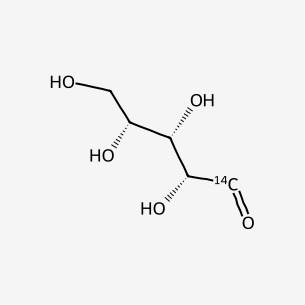 O=[14CH][C@H](O)[C@@H](O)[C@H](O)CO